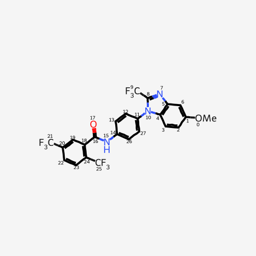 COc1ccc2c(c1)nc(C(F)(F)F)n2-c1ccc(NC(=O)c2cc(C(F)(F)F)ccc2C(F)(F)F)cc1